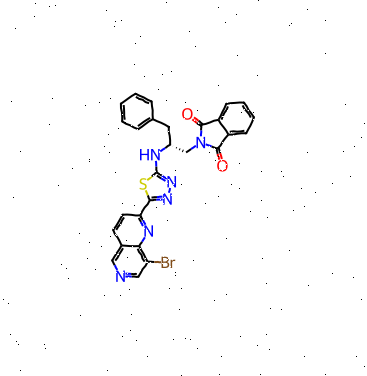 O=C1c2ccccc2C(=O)N1C[C@@H](Cc1ccccc1)Nc1nnc(-c2ccc3cncc(Br)c3n2)s1